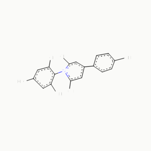 Cc1ccc(-c2cc(C)[n+](-c3c(C)cc(C)cc3C)c(C)c2)cc1